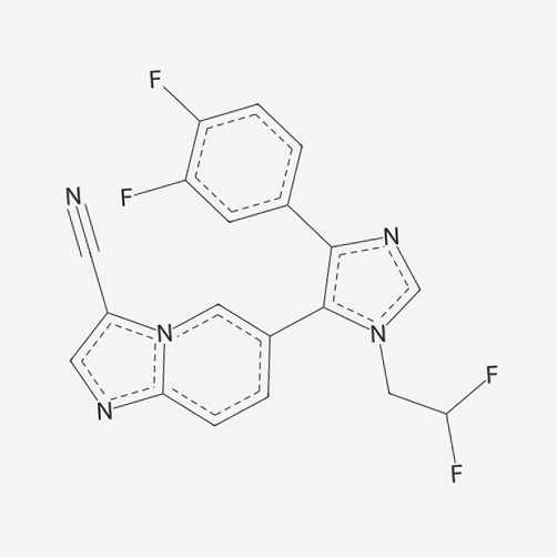 N#Cc1cnc2ccc(-c3c(-c4ccc(F)c(F)c4)ncn3CC(F)F)cn12